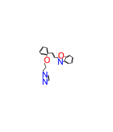 C(=Cc1ccccc1OCCCn1ccnc1)c1nc2ccccc2o1